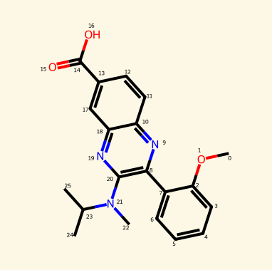 COc1ccccc1-c1nc2ccc(C(=O)O)cc2nc1N(C)C(C)C